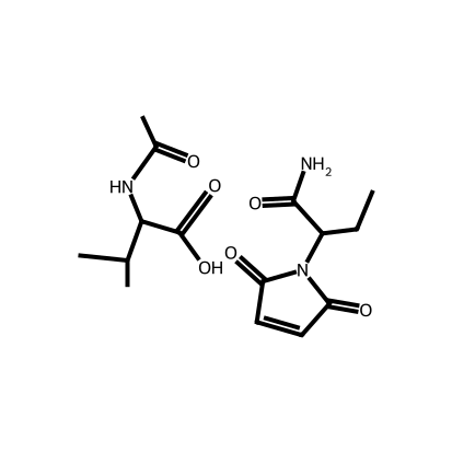 CC(=O)NC(C(=O)O)C(C)C.CCC(C(N)=O)N1C(=O)C=CC1=O